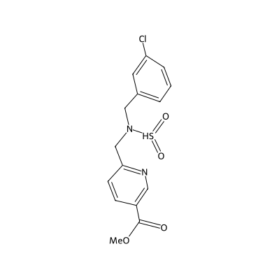 COC(=O)c1ccc(CN(Cc2cccc(Cl)c2)[SH](=O)=O)nc1